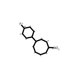 O=[N+]([O-])C1CCCC[C](C2CCC(F)CC2)CC1